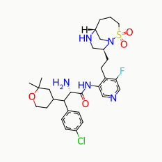 CC1(C)CC(C(c2ccc(Cl)cc2)[C@H](N)C(=O)Nc2cncc(F)c2CC[C@H]2CN[C@@H]3CCCS(=O)(=O)N2C3)CCO1